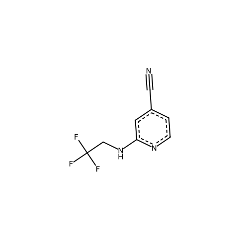 N#Cc1ccnc(NCC(F)(F)F)c1